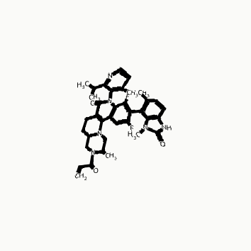 C=CC(=O)N1CC2CCc3c(c4cc(F)c(-c5c(C)ccc6[nH]c(=O)n(C)c56)c(F)c4n(-c4c(C)ccnc4C(C)C)c3=O)N2CC1C